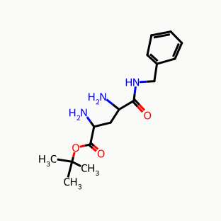 CC(C)(C)OC(=O)C(N)CC(N)C(=O)NCc1ccccc1